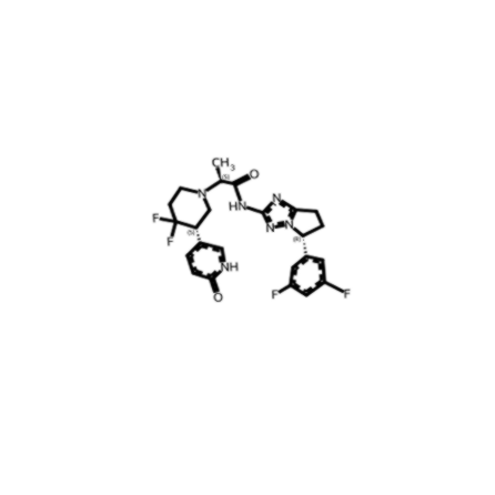 C[C@@H](C(=O)Nc1nc2n(n1)[C@@H](c1cc(F)cc(F)c1)CC2)N1CCC(F)(F)[C@@H](c2ccc(=O)[nH]c2)C1